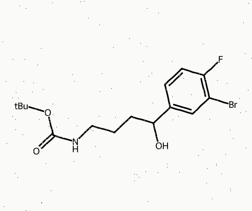 CC(C)(C)OC(=O)NCCCC(O)c1ccc(F)c(Br)c1